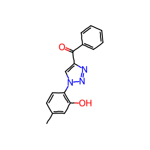 Cc1ccc(-n2cc(C(=O)c3ccccc3)nn2)c(O)c1